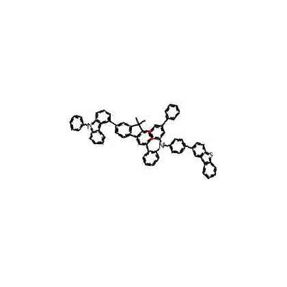 CC1(C)c2ccc(-c3ccccc3N(c3ccc(-c4ccc5sc6ccccc6c5c4)cc3)c3cccc(-c4ccccc4)c3)cc2-c2ccc(-c3cccc4c3c3ccccc3n4-c3ccccc3)cc21